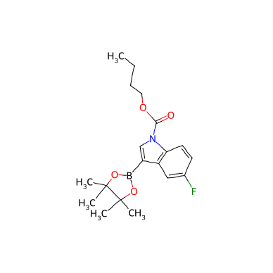 CCCCOC(=O)n1cc(B2OC(C)(C)C(C)(C)O2)c2cc(F)ccc21